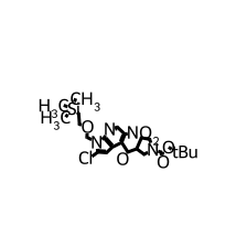 CC(C)(C)OC(=O)N1CCC(C(=O)c2c([N+](=O)[O-])cnc3c2cc(Cl)n3COCC[Si](C)(C)C)C1